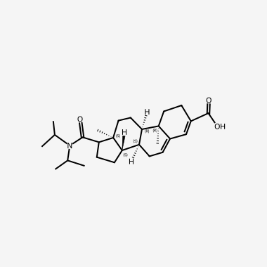 CC(C)N(C(=O)C1CC[C@H]2[C@@H]3CC=C4C=C(C(=O)O)CC[C@]4(C)[C@@H]3CC[C@]12C)C(C)C